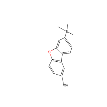 CC(C)(C)c1ccc2oc3cc([Si](C)(C)C)ccc3c2c1